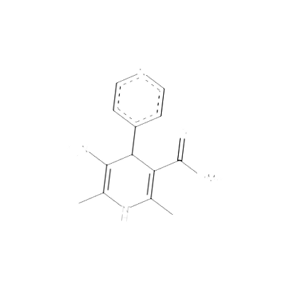 COC(=O)C1=C(C)NC(C)=C([N+](=O)[O-])C1c1ccncc1